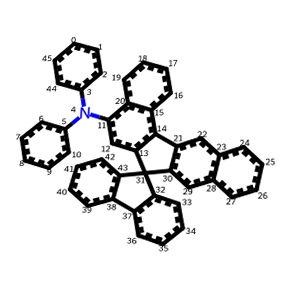 c1ccc(N(c2ccccc2)c2cc3c(c4ccccc24)-c2cc4ccccc4cc2C32c3ccccc3-c3ccccc32)cc1